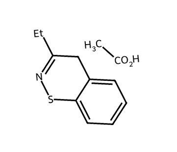 CC(=O)O.CCC1=NSc2ccccc2C1